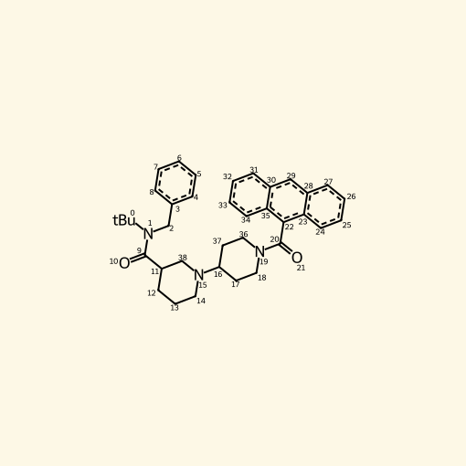 CC(C)(C)N(Cc1ccccc1)C(=O)C1CCCN(C2CCN(C(=O)c3c4ccccc4cc4ccccc34)CC2)C1